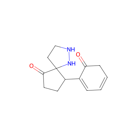 O=C1CC=CC=C1C1CCC(=O)C12CCNN2